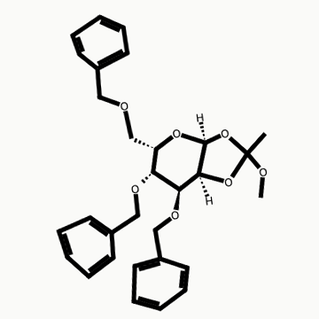 COC1(C)O[C@@H]2O[C@@H](COCc3ccccc3)[C@@H](OCc3ccccc3)[C@H](OCc3ccccc3)[C@@H]2O1